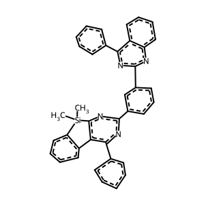 C[Si]1(C)c2ccccc2-c2c(-c3ccccc3)nc(-c3cccc(-c4nc(-c5ccccc5)c5ccccc5n4)c3)nc21